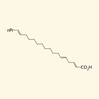 CCCC=CCCCCCCCCCC=CCC=CC(=O)O